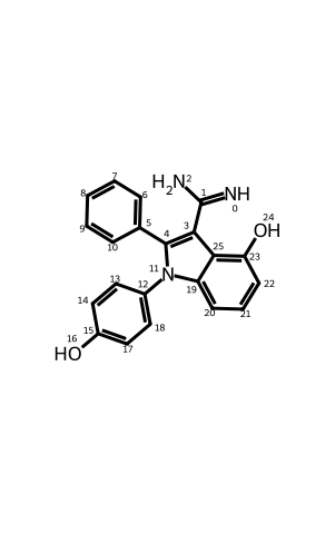 N=C(N)c1c(-c2ccccc2)n(-c2ccc(O)cc2)c2cccc(O)c12